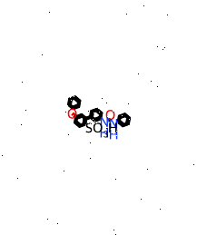 O=C(Nc1ccccc1)Nc1cccc(-c2cc(Oc3ccccc3)ccc2S(=O)(=O)O)c1